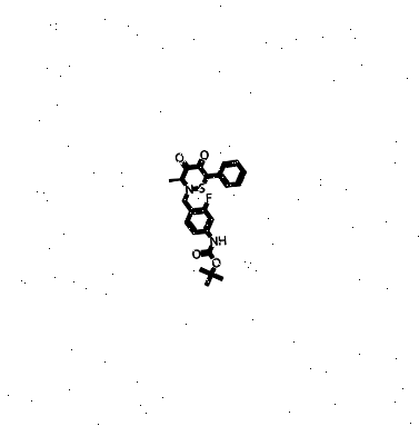 C[C@H]1C(=O)C(=O)C(c2ccccc2)SN1Cc1ccc(NC(=O)OC(C)(C)C)cc1F